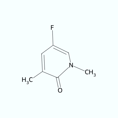 Cc1cc(F)cn(C)c1=O